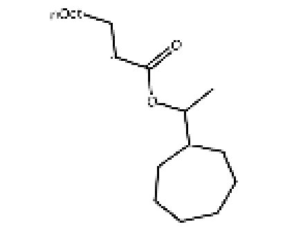 CCCCCCCCC[CH]C(=O)OC(C)C1CCCCCC1